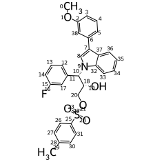 COc1cccc(-c2cn([C@@H](c3cccc(F)c3)[C@H](O)COS(=O)(=O)c3ccc(C)cc3)c3ccccc23)c1